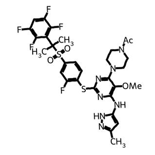 COc1c(Nc2cc(C)n[nH]2)nc(Sc2ccc(S(=O)(=O)C(C)(C)c3c(F)c(F)cc(F)c3F)cc2F)nc1N1CCN(C(C)=O)CC1